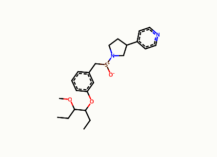 CCC(OC)C(CC)Oc1cccc(C[S+]([O-])N2CCC(c3ccncc3)C2)c1